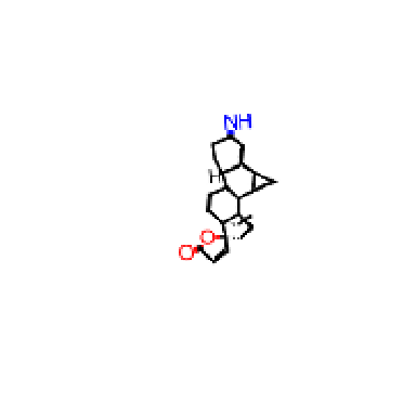 CC[C@]12CCC3C(C4CC4C4=CC(=N)CC[C@@H]43)C1CC[C@@]21C=CC(=O)O1